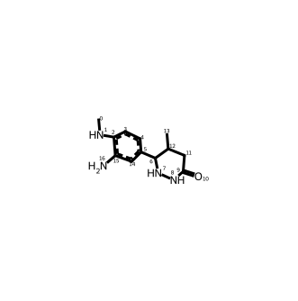 CNc1ccc(C2NNC(=O)CC2C)cc1N